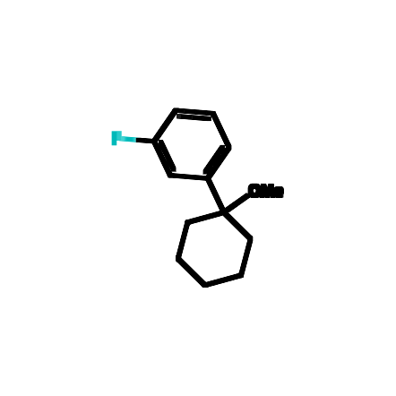 COC1(c2cccc(F)c2)CCCCC1